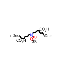 CCCCCCCCCCCCC(CCCN(CCCC(CCCCCCCCCCCC)C(=O)O)C(=O)OC(C)(C)C)C(=O)O